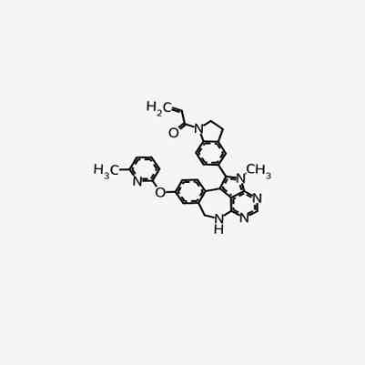 C=CC(=O)N1CCc2cc(-c3c4c5c(ncnc5n3C)NCc3cc(Oc5cccc(C)n5)ccc3-4)ccc21